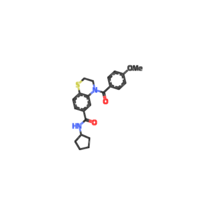 COc1ccc(C(=O)N2CCSc3ccc(C(=O)NC4CCCC4)cc32)cc1